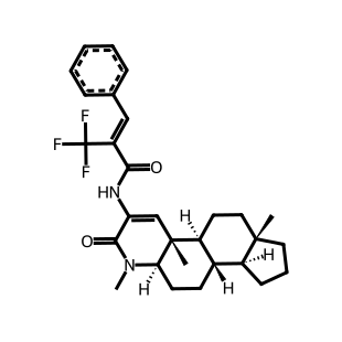 CN1C(=O)C(NC(=O)C(=Cc2ccccc2)C(F)(F)F)=C[C@]2(C)[C@H]3CC[C@]4(C)CCC[C@H]4[C@@H]3CC[C@@H]12